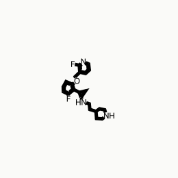 Fc1cccc(OCc2cccnc2F)c1C1CC1NCCC1CCNCC1